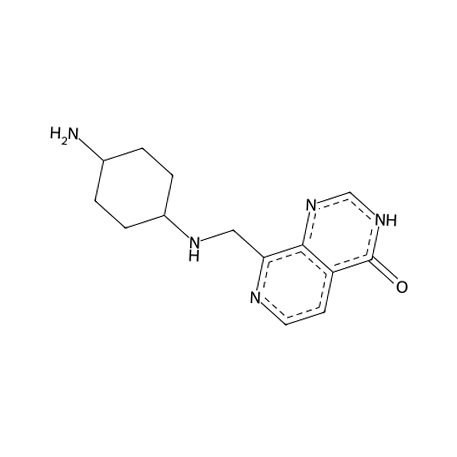 NC1CCC(NCc2nccc3c(=O)[nH]cnc23)CC1